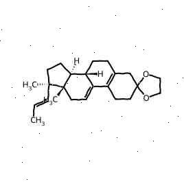 C/C=C/[C@@]1(C)CC[C@H]2[C@@H]3CCC4=C(CCC5(C4)OCCO5)C3=CC[C@@]21C